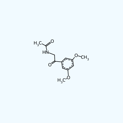 COc1cc(OC)cc(C(=O)CNC(C)=O)c1